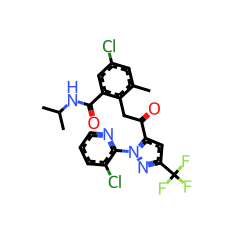 Cc1cc(Cl)cc(C(=O)NC(C)C)c1CC(=O)c1cc(C(F)(F)F)nn1-c1ncccc1Cl